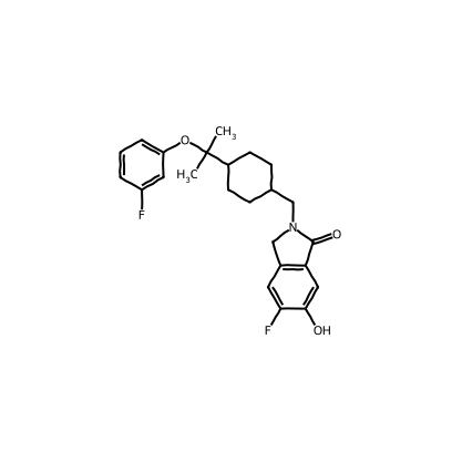 CC(C)(Oc1cccc(F)c1)C1CCC(CN2Cc3cc(F)c(O)cc3C2=O)CC1